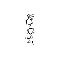 NC(=O)Oc1ccc(N2CCC(C=O)CC2)nn1